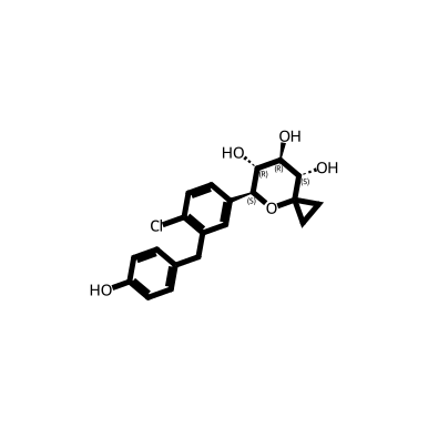 Oc1ccc(Cc2cc([C@@H]3OC4(CC4)[C@@H](O)[C@H](O)[C@H]3O)ccc2Cl)cc1